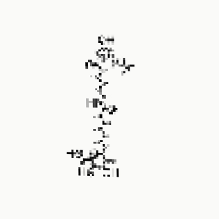 CC(C)OC[C@@H]1C[C@@H](O)CN1C(=O)CCCCCNC(=O)CCCCCC[C@@H]1OC(CO)[C@H](O)[C@H](O)C1C